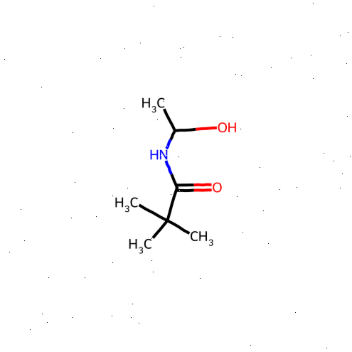 CC(O)NC(=O)C(C)(C)C